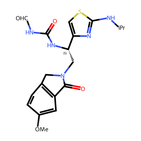 COc1ccc2c(c1)C(=O)N(C[C@H](NC(=O)NC=O)c1csc(NC(C)C)n1)C2